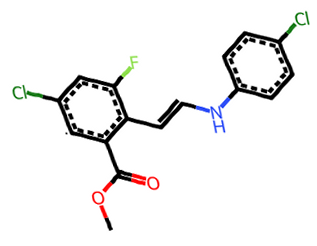 COC(=O)c1[c]c(Cl)cc(F)c1C=CNc1ccc(Cl)cc1